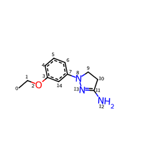 CCOc1cccc(N2CCC(N)=N2)c1